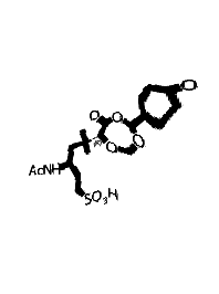 CC(=O)NC(CCS(=O)(=O)O)CC(C)(C)[C@H]1OCOC(C2=CCC(=O)C=C2)OC1=O